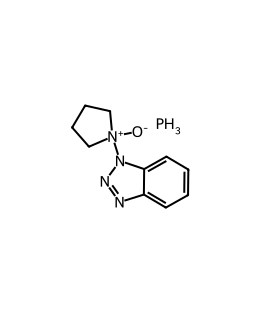 P.[O-][N+]1(n2nnc3ccccc32)CCCC1